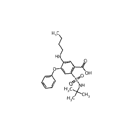 CCCCNc1cc(C(=O)O)c(S(=O)(=O)NC(C)(C)C)cc1Oc1ccccc1